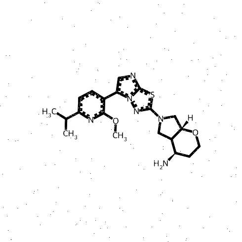 COc1nc(C(C)C)ccc1-c1cnc2sc(N3CC4[C@H](N)CCO[C@H]4C3)nn12